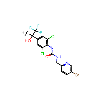 CC(O)(c1cc(Cl)c(NC(=O)NCc2ccc(Br)cn2)c(Cl)c1)C(F)(F)F